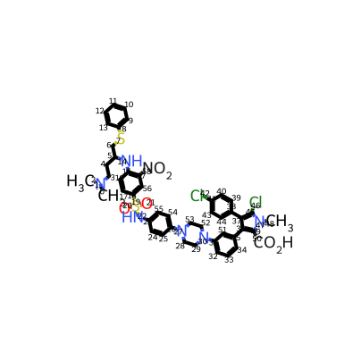 CN(C)CCC(CSc1ccccc1)Nc1ccc(S(=O)(=O)Nc2ccc(N3CCN(c4cccc(-c5c(-c6ccc(Cl)cc6)c(Cl)n(C)c5C(=O)O)c4)CC3)cc2)cc1[N+](=O)[O-]